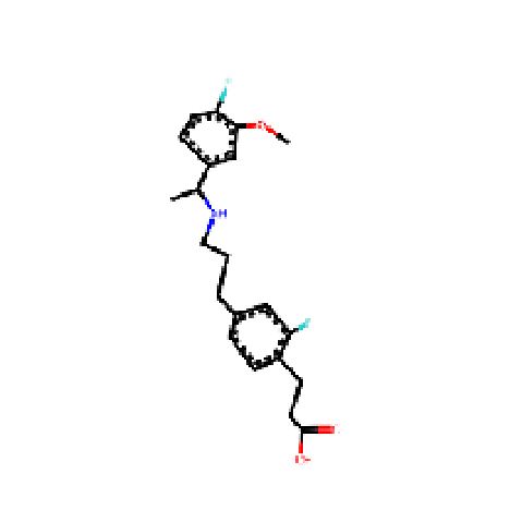 COc1cc(C(C)NCCCc2ccc(CCC(=O)O)c(F)c2)ccc1F